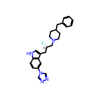 F[C@@H](Cc1c[nH]c2ccc(-n3cnnc3)cc12)CN1CCC(Cc2ccccc2)CC1